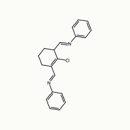 ClC1=C(C=Nc2ccccc2)CCCC1C=Nc1ccccc1